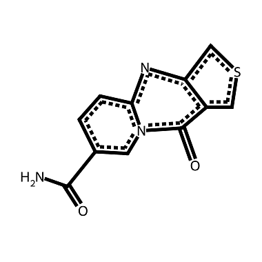 NC(=O)c1ccc2nc3cscc3c(=O)n2c1